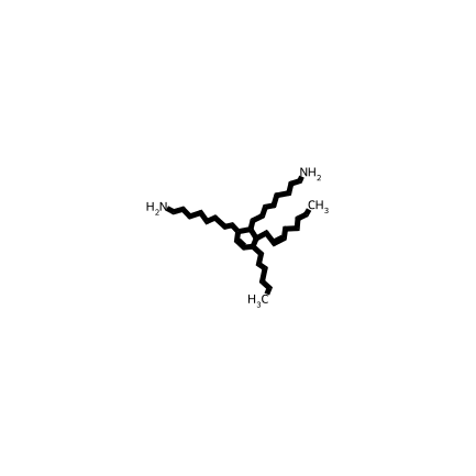 CCCCC/C=C\CC1C(CCCCCC)C=CC(CCCCCCCCN)C1CCCCCCCCN